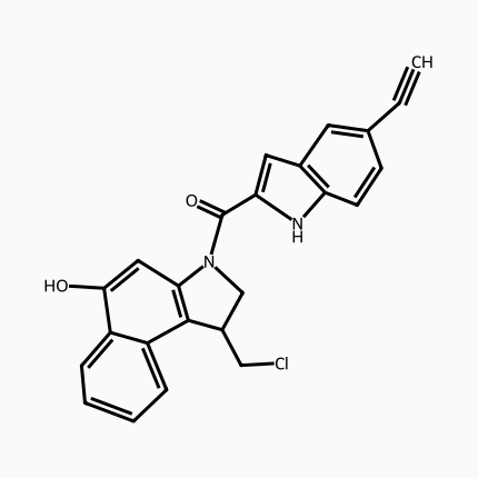 C#Cc1ccc2[nH]c(C(=O)N3CC(CCl)c4c3cc(O)c3ccccc43)cc2c1